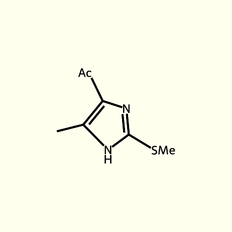 CSc1nc(C(C)=O)c(C)[nH]1